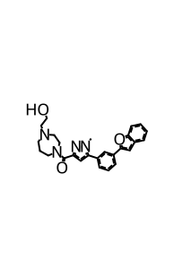 Cn1nc(C(=O)N2CCCN(CCO)CC2)cc1-c1cccc(-c2cc3ccccc3o2)c1